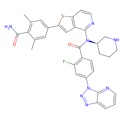 Cc1cc(-c2cc3c(N(C(=O)c4ccc(-n5nnc6cccnc65)cc4F)[C@@H]4CCCNC4)nccc3s2)cc(C)c1C(N)=O